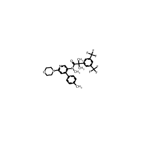 Cc1ccc(-c2cc(N3CCOCC3)ncc2N(C)C(=O)C(C)(C)c2cc(C(F)(F)F)cc(C(F)(F)F)c2)cc1